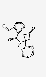 CN(C(=O)c1ccccc1C=O)C1(c2ncccn2)CC(=O)C1